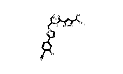 CCC(Cn1ccc(-c2ccc(C#N)c(Cl)c2)n1)NC(=O)c1cc(C(C)O)n[nH]1